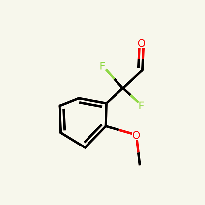 COc1ccccc1C(F)(F)C=O